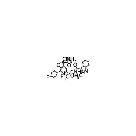 Cn1nc2ccccc2c1C(=O)NCC(O)(c1cc2c(c(-c3ccc(F)cc3)n1)OC[C@]2(C)C(N)=O)C(F)(F)F